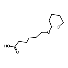 O=C(O)CCCCCOC1CCCCO1